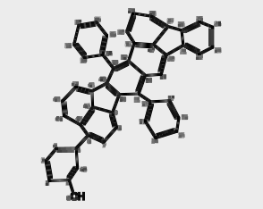 Oc1cccc(-c2ccc3c4c(-c5ccccc5)c5cc6c7ccccc7c7cccc(c5c(-c5ccccc5)c4c4cccc2c34)c76)c1